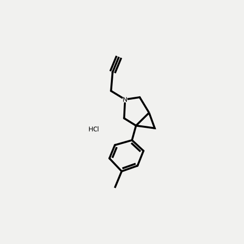 C#CCN1CC2CC2(c2ccc(C)cc2)C1.Cl